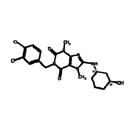 Cn1c(N[C@H]2CCC[C@H](O)C2)nc2c1c(=O)n(Cc1ccc(Cl)c(Cl)c1)c(=O)n2C